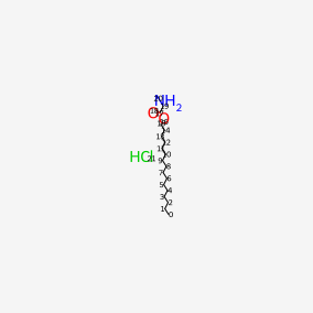 CCCCCCCCCCCCCCCCOC(=O)CN.Cl